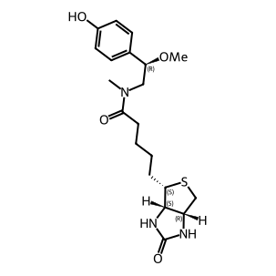 CO[C@@H](CN(C)C(=O)CCCC[C@@H]1SC[C@@H]2NC(=O)N[C@@H]21)c1ccc(O)cc1